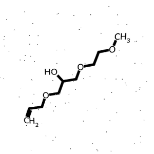 C=CCOCC(O)COCCOC